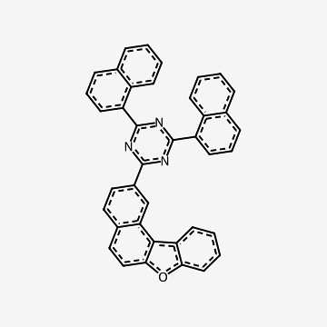 c1ccc2c(-c3nc(-c4ccc5ccc6oc7ccccc7c6c5c4)nc(-c4cccc5ccccc45)n3)cccc2c1